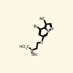 CC(C)(C)N(CCOc1cc(Br)c2c(C#N)cnn2c1)C(=O)O